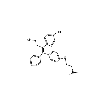 CN(C)CCOc1ccc(/C(=C(/CCCl)c2ccc(O)cc2)c2ccccc2)cc1